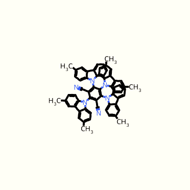 Cc1ccc2c(c1)c1cc(C)ccc1n2-c1c(C#N)c(-n2c3ccccc3c3cc(C)ccc32)c(-n2c3ccc(C)cc3c3cc(C)ccc32)c(-n2c3ccccc3c3cc(C)ccc32)c1C#N